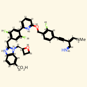 CN/C=C(/C#Cc1ccc(COc2cccc(-c3cc(F)c(Cc4nc5ccc(C(=O)O)cc5n4C[C@@H]4CCO4)cc3F)n2)c(F)c1)C=N